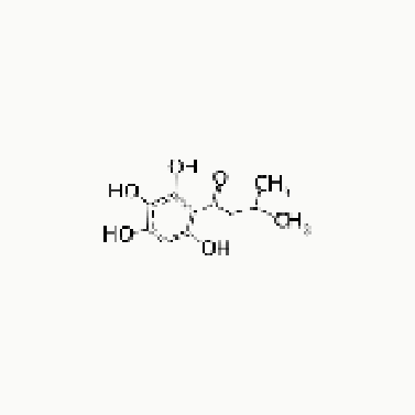 CC(C)CC(=O)c1c(O)cc(O)c(O)c1O